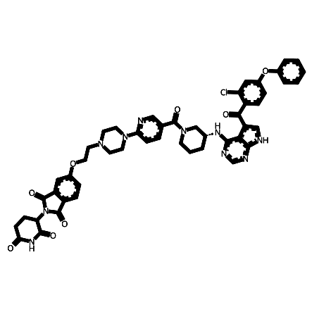 O=C1CCC(N2C(=O)c3ccc(OCCN4CCN(c5ccc(C(=O)N6CCC[C@@H](Nc7ncnc8[nH]cc(C(=O)c9ccc(Oc%10ccccc%10)cc9Cl)c78)C6)cn5)CC4)cc3C2=O)C(=O)N1